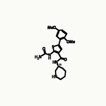 COc1ccc(OC)c(-c2cc(C(=O)N[C@H]3CCCCNC3)c(NC(N)=O)s2)c1